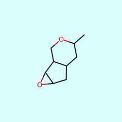 CC1CC2CC3OC3C2CO1